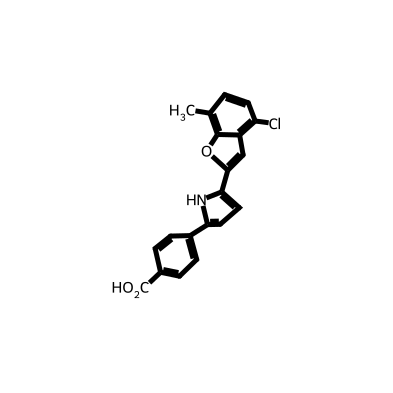 Cc1ccc(Cl)c2cc(-c3ccc(-c4ccc(C(=O)O)cc4)[nH]3)oc12